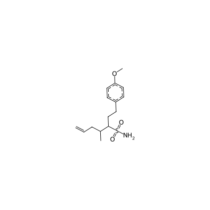 C=CCC(C)C(CCc1ccc(OC)cc1)S(N)(=O)=O